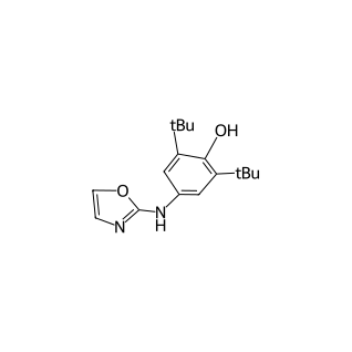 CC(C)(C)c1cc(Nc2ncco2)cc(C(C)(C)C)c1O